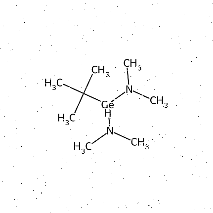 C[N](C)[GeH]([N](C)C)[C](C)(C)C